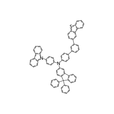 c1ccc(C2(c3ccccc3)c3ccccc3-c3cc(N(c4ccc(-c5cccc(-c6ccc7sc8ccccc8c7c6)c5)cc4)c4ccc(-n5c6ccccc6c6ccccc65)cc4)ccc32)cc1